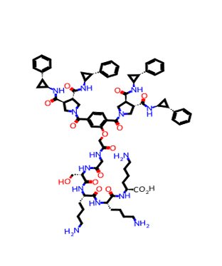 NCCCC[C@H](NC(=O)[C@H](CCCCN)NC(=O)[C@H](CCCCN)NC(=O)[C@H](CO)NC(=O)CNC(=O)COc1cc(C(=O)N2C[C@@H](C(=O)N[C@H]3C[C@@H]3c3ccccc3)[C@H](C(=O)N[C@H]3C[C@@H]3c3ccccc3)C2)ccc1C(=O)N1C[C@@H](C(=O)N[C@H]2C[C@@H]2c2ccccc2)[C@H](C(=O)N[C@H]2C[C@@H]2c2ccccc2)C1)C(=O)O